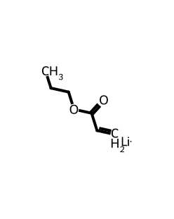 C=CC(=O)OCCC.[Li]